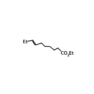 CCC=CCCCCCC(=O)OCC